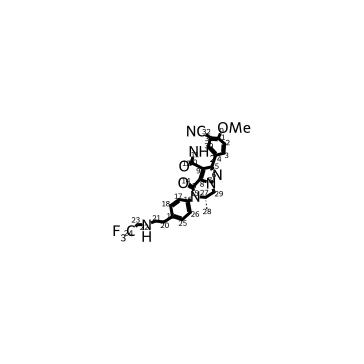 COc1ccc(-c2nn3c(c2C(N)=O)C(=O)N(c2ccc(CCNCC(F)(F)F)cc2)[C@@H](C)C3)cc1C#N